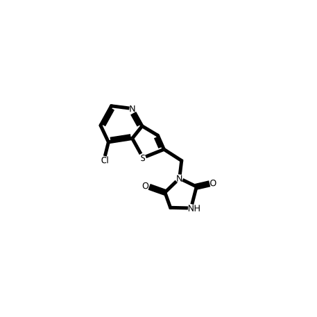 O=C1CNC(=O)N1Cc1cc2nccc(Cl)c2s1